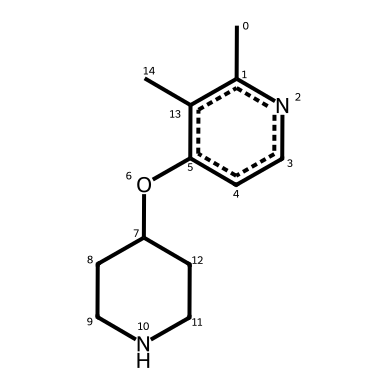 Cc1nccc(OC2CCNCC2)c1C